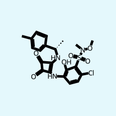 CON(C)S(=O)(=O)c1c(Cl)ccc(Nc2c(N[C@@H](C)c3ccc(C)cc3)c(=O)c2=O)c1O